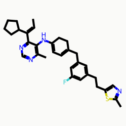 CC=C(c1ncnc(C)c1NC1=CC=C(Cc2cc(F)cc(CCc3cnc(C)s3)c2)CC1)C1CCCC1